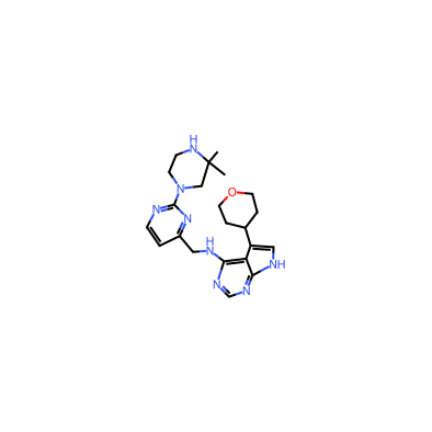 CC1(C)CN(c2nccc(CNc3ncnc4[nH]cc(C5CCOCC5)c34)n2)CCN1